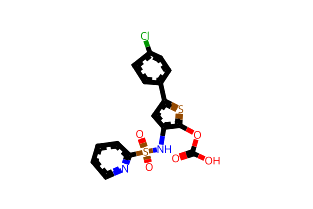 O=C(O)Oc1sc(-c2ccc(Cl)cc2)cc1NS(=O)(=O)c1ccccn1